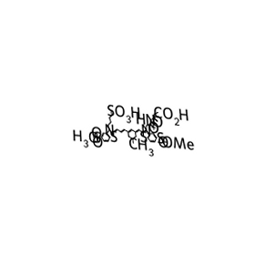 COOSc1ccc2sc(/C=C3C=C(/C=C/C=C4\Sc5ccc(S(C)(=O)=O)cc5N4CCCCS(=O)(=O)O)CC(C)C/3)[n+](CC(=O)NC(=O)CC(=O)O)c2c1